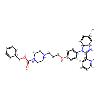 O=C(OCc1ccccc1)N1CCN(CCCOc2ccc(-n3c(-c4ccccn4)nc4cc(F)ccc43)cc2)CC1